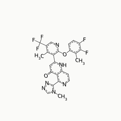 Cc1c(Oc2ncc(C(F)(F)F)c(C)c2-c2cc(=O)c3c(-c4nncn4C)nccc3[nH]2)ccc(F)c1F